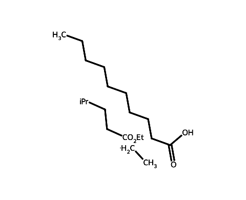 CCCCCCCCCC(=O)O.CCOC(=O)CCC(C)C.[CH2]C